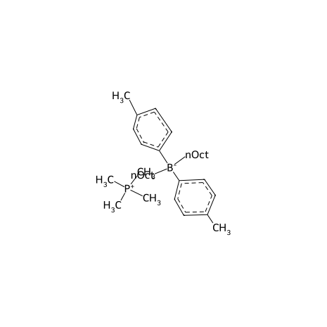 CCCCCCCC[B-](CCCCCCCC)(c1ccc(C)cc1)c1ccc(C)cc1.C[P+](C)(C)C